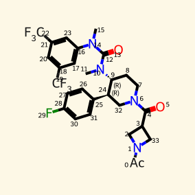 CC(=O)N1CC(C(=O)N2CC[C@@H](N(C)C(=O)N(C)c3cc(C(F)(F)F)cc(C(F)(F)F)c3)[C@H](c3ccc(F)cc3)C2)C1